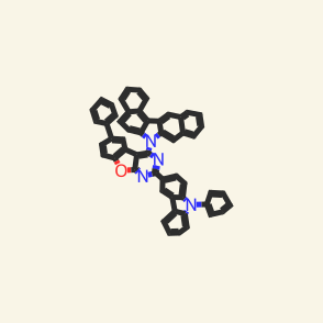 c1ccc(-c2ccc3oc4nc(-c5ccc6c(c5)c5ccccc5n6-c5ccccc5)nc(-n5c6cc7ccccc7cc6c6c7ccccc7ccc65)c4c3c2)cc1